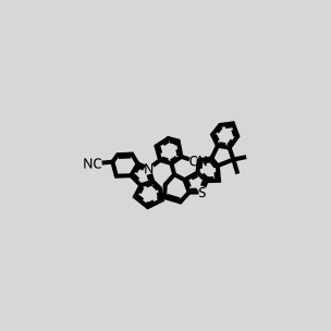 CC1(C)c2ccccc2-c2cc3c4c(sc3cc21)C=CCC4c1c(C#N)cccc1-n1c2c(c3ccccc31)CC(C#N)C=C2